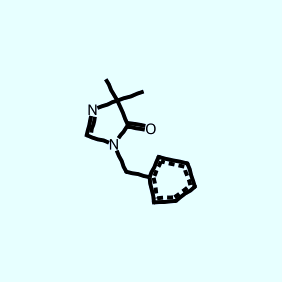 CC1(C)N=CN(Cc2ccccc2)C1=O